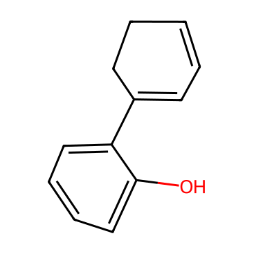 Oc1ccccc1C1=CC=CCC1